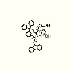 O=C(N[C@@H](CSC(c1ccccc1)(c1ccccc1)c1ccccc1)C(=O)N1C[C@H](O)C[C@H]1C(=O)O)OCC1c2ccccc2-c2ccccc21